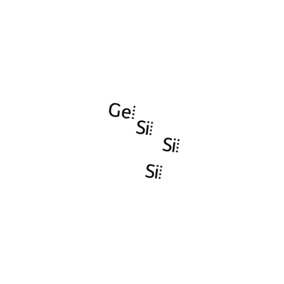 [Ge].[Si].[Si].[Si]